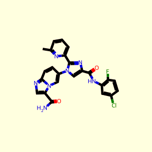 Cc1cccc(-c2nc(C(=O)Nc3cc(Cl)ccc3F)cn2-c2ccc3ncc(C(N)=O)n3c2)n1